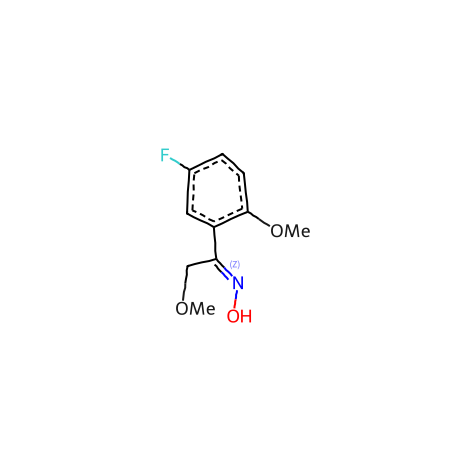 COC/C(=N\O)c1cc(F)ccc1OC